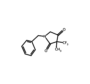 CC1(C(F)(F)F)C(=O)CN(Cc2ccccc2)C1=O